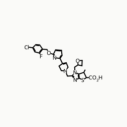 CC1c2c(nc(CN3CC=C(c4cccc(OCc5ccc(Cl)cc5F)n4)CC3)n2CC2CCO2)SC1C(=O)O